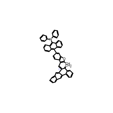 C=c1/c(=C\c2c(C)oc3cc(-c4c5ccccc5c(N(c5ccccc5)c5ccccc5)c5ccccc45)ccc23)c2cc3ccccc3cc2c2ccccc12